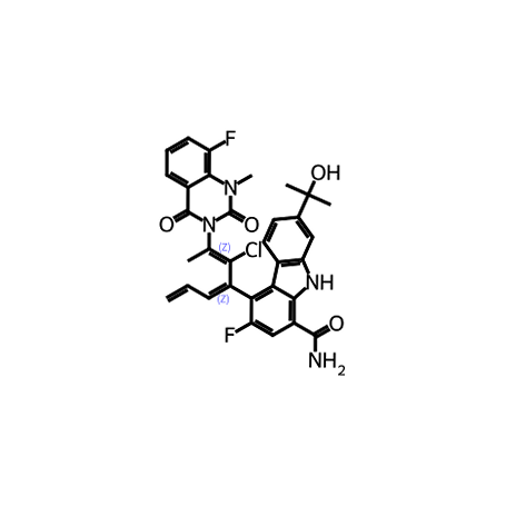 C=C/C=C(\C(Cl)=C(/C)n1c(=O)c2cccc(F)c2n(C)c1=O)c1c(F)cc(C(N)=O)c2[nH]c3cc(C(C)(C)O)ccc3c12